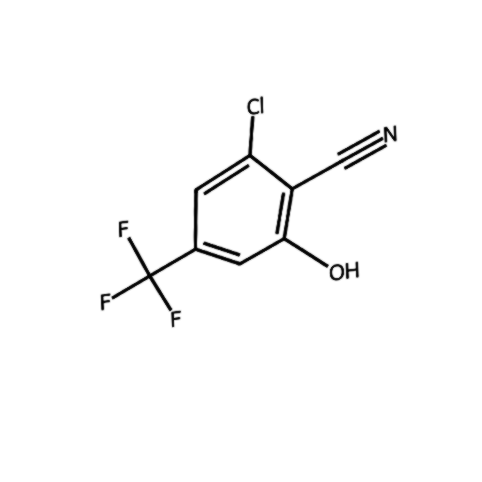 N#Cc1c(O)cc(C(F)(F)F)cc1Cl